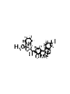 COc1cc(C(=O)COC(C)N2CCCCC2)ccc1-c1noc2cc(Cl)ccc12